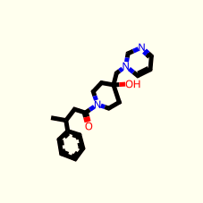 CC(CC(=O)N1CCC(O)(CN2C=CC=NC2)CC1)c1ccccc1